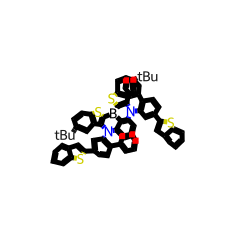 Cc1cc2c3c(c1)N(c1cc(-c4cc5ccccc5s4)ccc1-c1ccccc1)c1c(sc4ccc(C(C)(C)C)cc14)B3c1sc3ccc(C(C)(C)C)cc3c1N2c1cc(-c2cc3ccccc3s2)ccc1-c1ccccc1